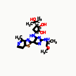 COC[C@@H](C)Nc1ncc(-c2nc3c(C)nccc3s2)c(N[C@@H]2C[C@H](C(C)(C)O)[C@@H](O)[C@H]2O)n1